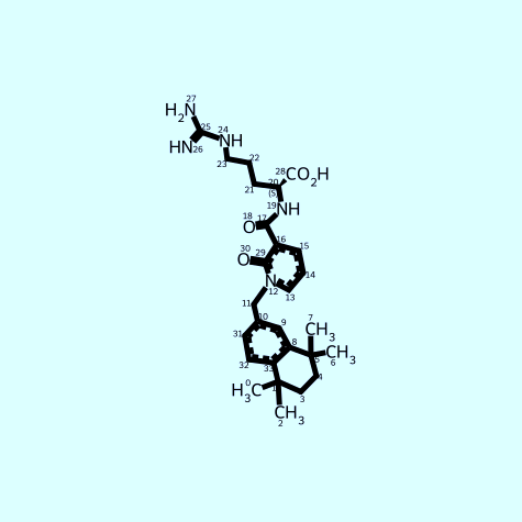 CC1(C)CCC(C)(C)c2cc(Cn3cccc(C(=O)N[C@@H](CCCNC(=N)N)C(=O)O)c3=O)ccc21